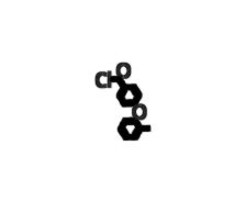 Cc1ccccc1Oc1ccc(C(=O)Cl)cc1